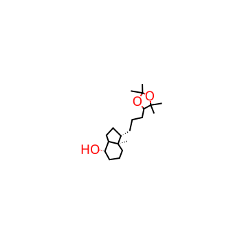 CC1(C)OC(CCC[C@H]2CCC3[C@@H](O)CCC[C@@]32C)C(C)(C)O1